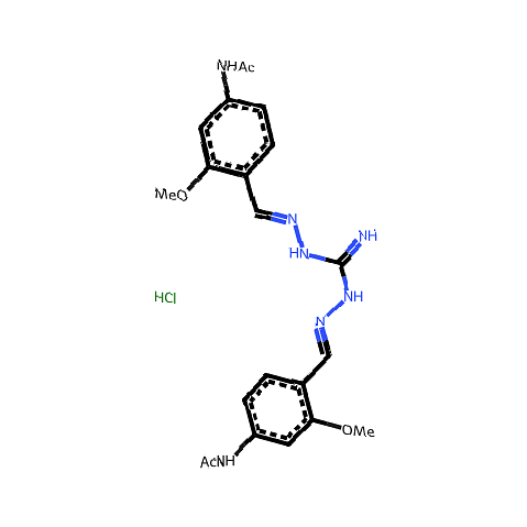 COc1cc(NC(C)=O)ccc1/C=N/NC(=N)N/N=C/c1ccc(NC(C)=O)cc1OC.Cl